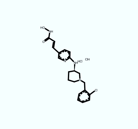 Cl.Cl.O=C(/C=C/c1ccc(N[C@@H]2CCCN(Cc3ccccc3Cl)C2)nc1)NO